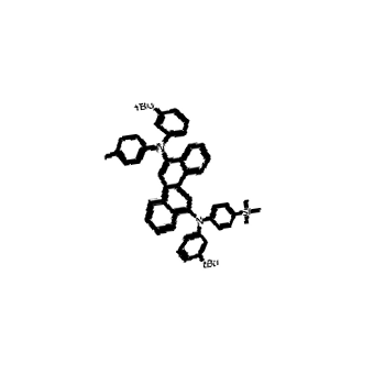 Cc1ccc(N(c2cccc(C(C)(C)C)c2)c2cc3c4ccccc4c(N(c4ccc([Si](C)(C)C)cc4)c4cccc(C(C)(C)C)c4)cc3c3ccccc23)cc1